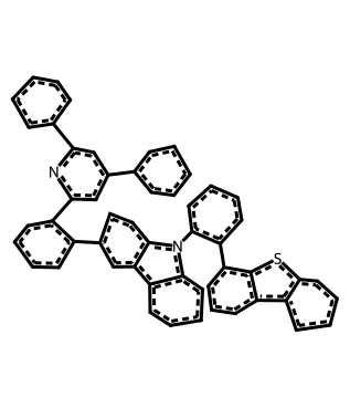 c1ccc(-c2cc(-c3ccccc3)nc(-c3ccccc3-c3ccc4c(c3)c3ccccc3n4-c3ccccc3-c3cccc4c3sc3ccccc34)c2)cc1